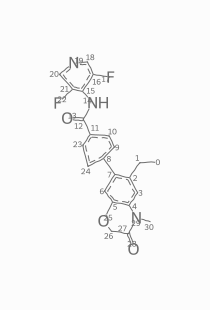 CCc1cc2c(cc1-c1ccc(C(=O)Nc3c(F)cncc3F)cc1)OCC(=O)N2C